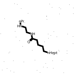 CCCCCCCCCCCC(=O)NCCNCCC